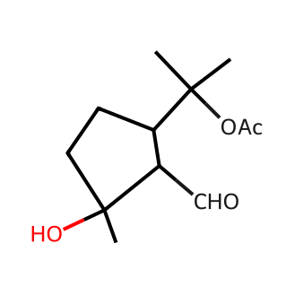 CC(=O)OC(C)(C)C1CCC(C)(O)C1C=O